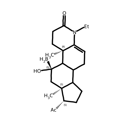 B[C@]1(O)C[C@@]2(C)C(CC[C@@H]2C(C)=O)C2CC=C3N(CC)C(=O)CC[C@]3(C)C21